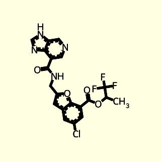 CC(OC(=O)c1cc(Cl)cc2cc(CNC(=O)c3cncc4[nH]cnc34)oc12)C(F)(F)F